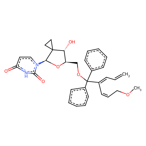 C=C/C=C(\C=C/COC)C(OC[C@H]1O[C@@H](n2ccc(=O)[nH]c2=O)C2(CC2)[C@@H]1O)(c1ccccc1)c1ccccc1